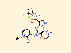 CC(C)n1cccc(Nc2nc3c(C(=O)N[C@@H]4CCC4(F)F)cnn3c3c2OCCN3)c1=O